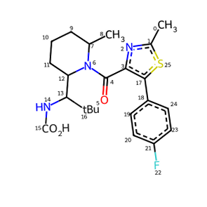 Cc1nc(C(=O)N2C(C)CCCC2C(NC(=O)O)C(C)(C)C)c(-c2ccc(F)cc2)s1